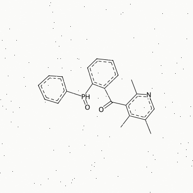 Cc1cnc(C)c(C(=O)c2ccccc2[PH](=O)c2ccccc2)c1C